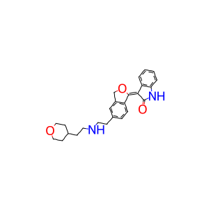 O=C1Nc2ccccc2/C1=C1\OCc2cc(CCNCCC3CCOCC3)ccc21